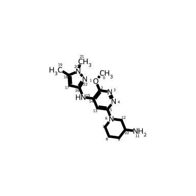 COc1nnc(N2CCCC(N)C2)cc1Nc1cc(C)n(C)n1